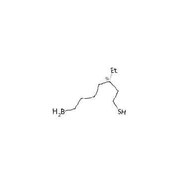 BCCCC[C@H](CC)CCS